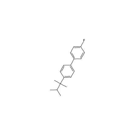 CC(C)C(C)(C)c1ccc(-c2ccc(F)cc2)cc1